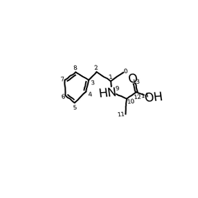 CC(Cc1ccccc1)NC(C)C(=O)O